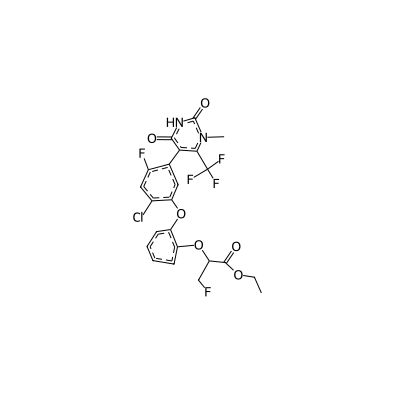 CCOC(=O)C(CF)Oc1ccccc1Oc1cc(-c2c(C(F)(F)F)n(C)c(=O)[nH]c2=O)c(F)cc1Cl